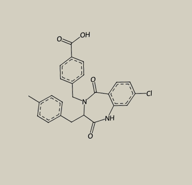 Cc1ccc(CC2C(=O)Nc3cc(Cl)ccc3C(=O)N2Cc2ccc(C(=O)O)cc2)cc1